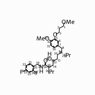 COCCCOc1cc(C[C@@H](CC[C@@H](O)C[C@H](C(=O)NCc2ccc(F)cc2F)C(C)C)C(C)C)ccc1OC